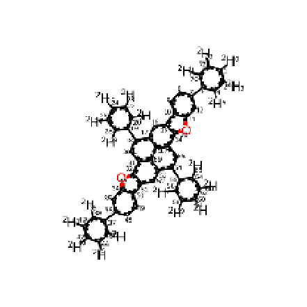 [2H]c1c([2H])c([2H])c(-c2ccc3c(c2)oc2c3cc3c(-c4c([2H])c([2H])c([2H])c([2H])c4[2H])cc4c5oc6cc(-c7c([2H])c([2H])c([2H])c([2H])c7[2H])ccc6c5cc5c(-c6c([2H])c([2H])c([2H])c([2H])c6[2H])cc2c3c54)c([2H])c1[2H]